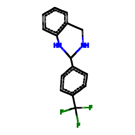 FC(F)(F)c1ccc(C2NCc3ccccc3N2)cc1